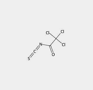 O=C(N=C=S)C(Cl)(Cl)Cl